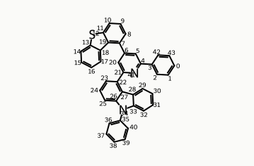 c1ccc(-c2cc(-c3cccc4sc5ccccc5c34)cc(-c3cccc4c3c3ccccc3n4-c3ccccc3)n2)cc1